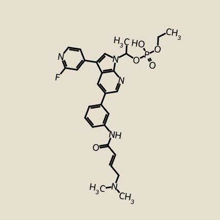 CCOP(=O)(O)OC(C)n1cc(-c2ccnc(F)c2)c2cc(-c3cccc(NC(=O)C=CCN(C)C)c3)cnc21